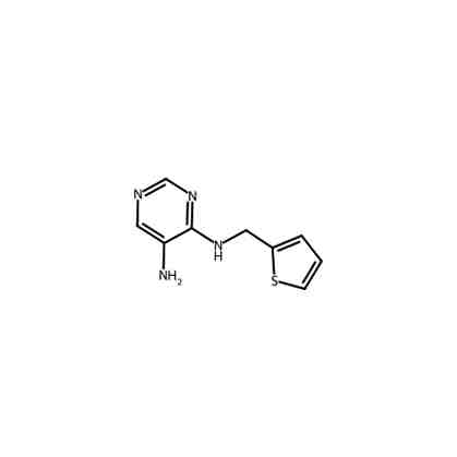 Nc1cncnc1NCc1cccs1